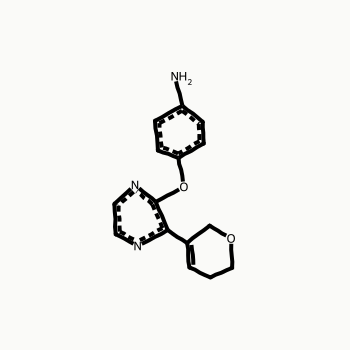 Nc1ccc(Oc2nccnc2C2=CCCOC2)cc1